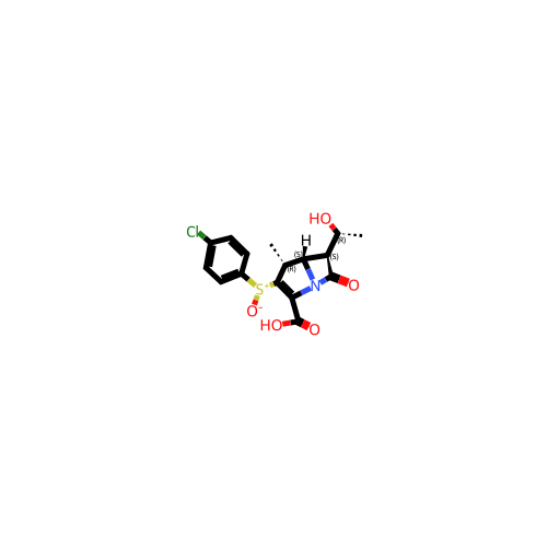 C[C@@H](O)[C@H]1C(=O)N2C(C(=O)O)=C([S+]([O-])c3ccc(Cl)cc3)[C@H](C)[C@H]12